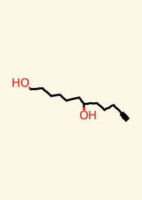 C#CCCCC(O)CCCCCCO